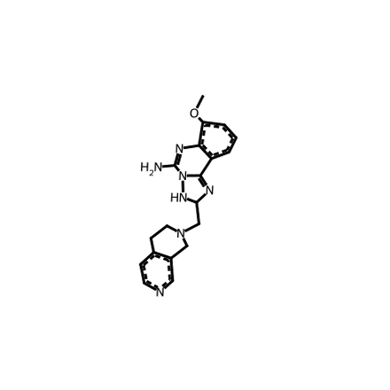 COc1cccc2c1N=C(N)N1NC(CN3CCc4ccncc4C3)N=C21